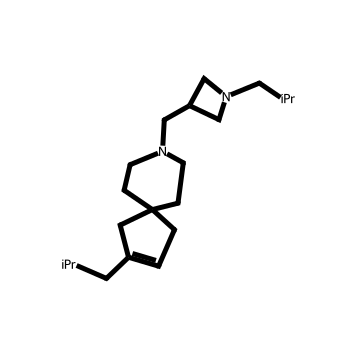 CC(C)CC1=CCC2(CCN(CC3CN(CC(C)C)C3)CC2)C1